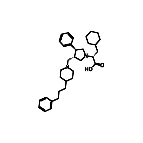 O=C(O)[C@@H](CC1CCCCC1)N1C[C@H](CN2CCC(CCCc3ccccc3)CC2)[C@@H](c2ccccc2)C1